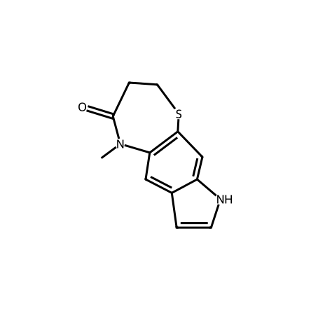 CN1C(=O)CCSc2cc3[nH]ccc3cc21